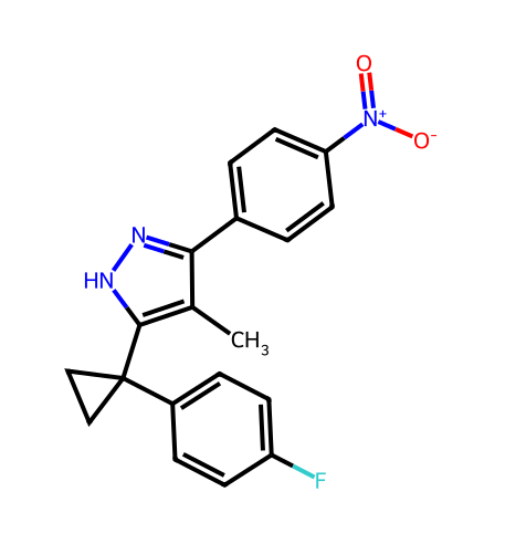 Cc1c(-c2ccc([N+](=O)[O-])cc2)n[nH]c1C1(c2ccc(F)cc2)CC1